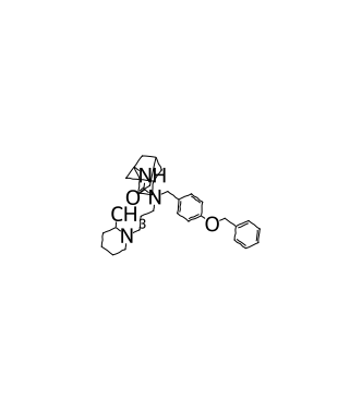 CC1CCCCN1CCCN(Cc1ccc(OCc2ccccc2)cc1)C(=O)NC12CC3CC4CC(C3)C41C2